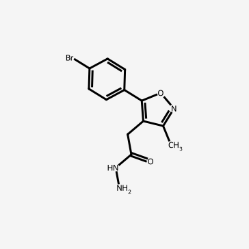 Cc1noc(-c2ccc(Br)cc2)c1CC(=O)NN